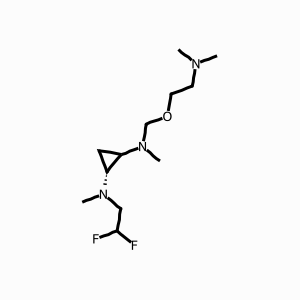 CN(C)CCOCN(C)C1C[C@H]1N(C)CC(F)F